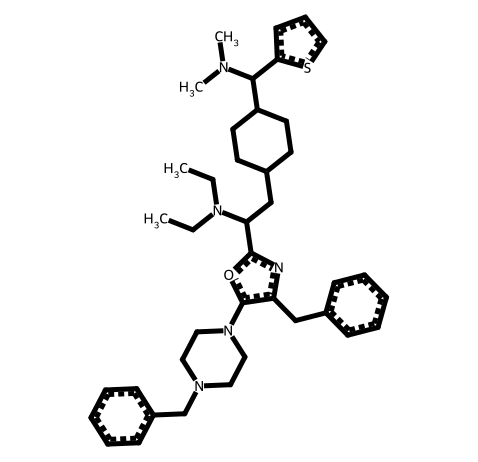 CCN(CC)C(CC1CCC(C(c2cccs2)N(C)C)CC1)c1nc(Cc2ccccc2)c(N2CCN(Cc3ccccc3)CC2)o1